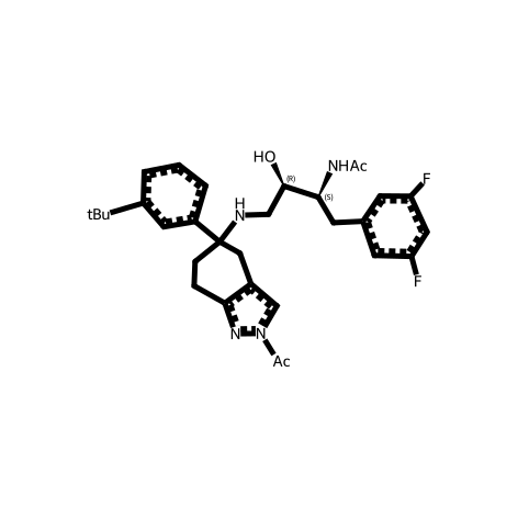 CC(=O)N[C@@H](Cc1cc(F)cc(F)c1)[C@H](O)CNC1(c2cccc(C(C)(C)C)c2)CCc2nn(C(C)=O)cc2C1